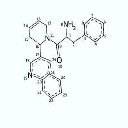 NC(Cc1ccccc1)C(=O)N1CC=CCC1c1cnc2ccccc2c1